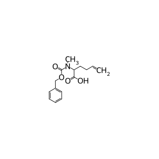 C=CCCC(C(=O)O)N(C)C(=O)OCc1ccccc1